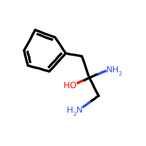 NCC(N)(O)Cc1ccccc1